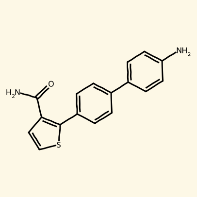 NC(=O)c1ccsc1-c1ccc(-c2ccc(N)cc2)cc1